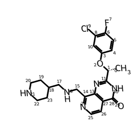 C[C@@H](Oc1ccc(F)c(Cl)c1)c1nc2c(CNCC3CCNCC3)nccc2c(=O)[nH]1